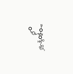 COC(=O)CCNC(=O)c1ccc2c(c1)nc(-c1ccc(C#N)cc1)n2CCN1CCN(Cc2ccccc2)CC1